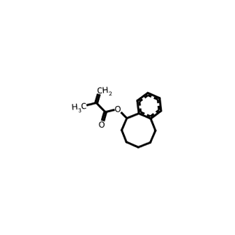 C=C(C)C(=O)OC1CCCCCc2ccccc21